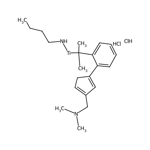 CCCC[NH][Ti][C](C)(C)c1ccccc1C1=CC(CN(C)C)=CC1.Cl.Cl